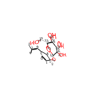 C=C[C@@](C)(CCC=C(C)C)O[C@@H]1O[C@H](CO)[C@@H](O)[C@H](O)[C@H]1O